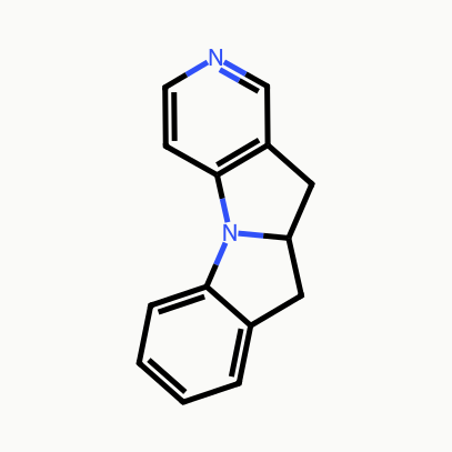 c1ccc2c(c1)CC1Cc3cnccc3N21